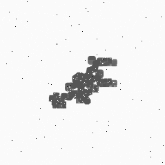 CCn1c(C(=O)OC)c(CCC(=O)OC)c2ccc(Cl)c(-c3c(C)c(C)nn3CCCO[Si](C)(C)C(C)(C)C)c21